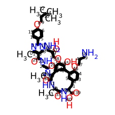 Cc1nc(-c2ccc(OCCC(C)(C)C)cc2)ncc1C(=O)NCC(=O)N(C)[C@@H]1C(=O)N[C@@H](C)C(=O)N[C@H](C(=O)O)Cc2ccc(OCCCN)c(c2)-c2cc1cc(OC[C@H](O)CN)c2O